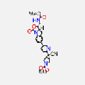 COC(=O)NC[C@@H]1OC(=O)N2c3ccc(-c4ccc(C5(C#N)C6CN(C(=O)OC(C)(C)C)CC65)nc4)cc3C[C@@H]12